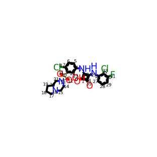 O=c1c(Nc2ccc(Cl)c(S(=O)(=O)N3CCN4CCCC4C3)c2O)c(Nc2cccc(F)c2Cl)c1=O